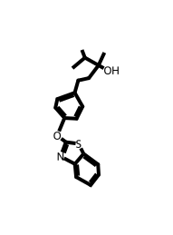 CC(C)C(C)(O)CCc1ccc(Oc2nc3ccccc3s2)cc1